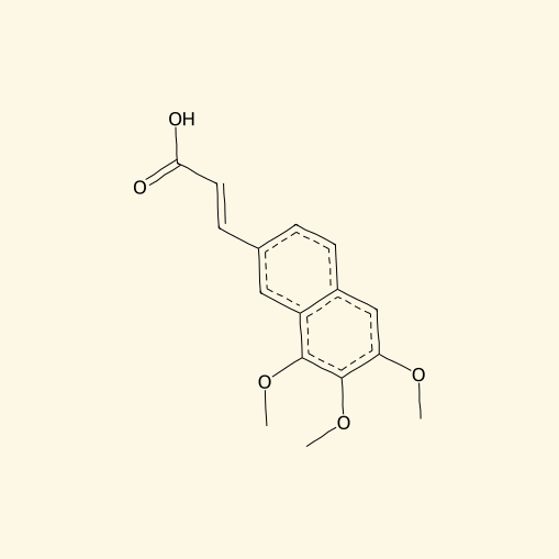 COc1cc2ccc(/C=C/C(=O)O)cc2c(OC)c1OC